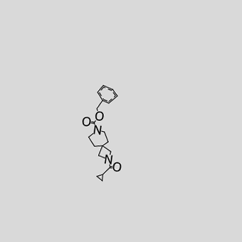 O=C(OCc1ccccc1)N1CCC2(CC1)CN(C(=O)C1CC1)C2